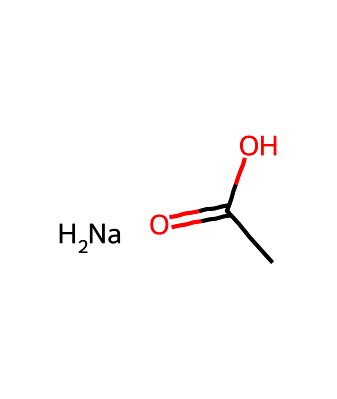 CC(=O)O.[NaH2]